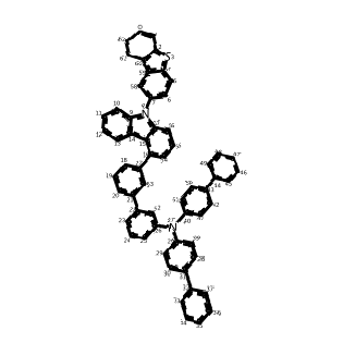 C1=Cc2sc3ccc(-n4c5ccccc5c5c(-c6cccc(-c7cccc(N(c8ccc(-c9ccccc9)cc8)c8ccc(-c9ccccc9)cc8)c7)c6)cccc54)cc3c2CC1